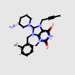 CC#CCN1c2c(n(C)c(=O)[nH]c2=O)N(Cc2ccccc2C#N)C1N1CCC[C@@H](N)C1